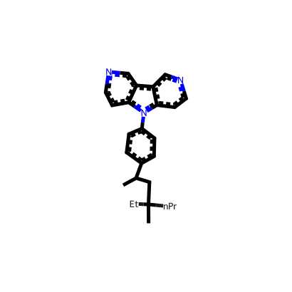 CCCC(C)(CC)CC(C)c1ccc(-n2c3ccncc3c3cnccc32)cc1